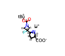 CC(C)(C)OC(=O)N1CC(F)(c2ccc(C(=O)[O-])cn2)C1.[Li+]